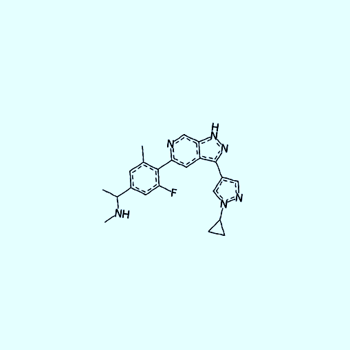 CNC(C)c1cc(C)c(-c2cc3c(-c4cnn(C5CC5)c4)n[nH]c3cn2)c(F)c1